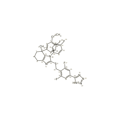 COc1cc(C2(C)CCCc3nc(SCc4c(F)cc(-c5nnn[nH]5)cc4F)n(-c4ccc(F)cc4)c32)ccc1F